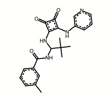 Cc1cccc(C(=O)NC(Nc2c(Nc3cccnc3)c(=O)c2=O)C(C)(C)C)c1